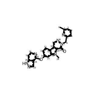 Cc1cccc(Cn2ncc3c4ccc(Oc5nccc6[nH]ncc56)cc4n(C)c3c2=O)n1